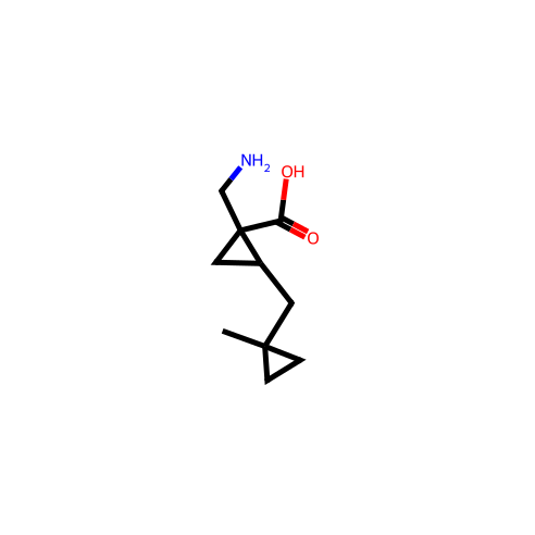 CC1(CC2CC2(CN)C(=O)O)CC1